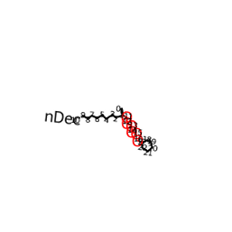 C=C(CCCCCCCCCCCCCCCCCC)OOOOOOC1CCCCC1